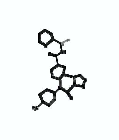 C[C@H](NC(=O)c1ccc2c(c1)c1csnc1c(=O)n2-c1ccc(C(F)(F)F)cc1)c1ccccn1